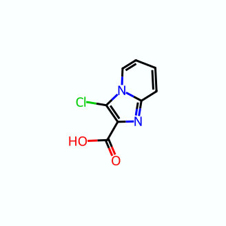 O=C(O)c1nc2ccccn2c1Cl